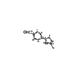 Cn1ccc(-c2ccc(C=O)cc2)n1